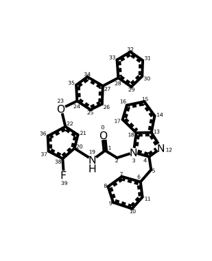 O=C(Cn1c(Cc2ccccc2)nc2ccccc21)Nc1cc(Oc2ccc(-c3ccccc3)cc2)ccc1F